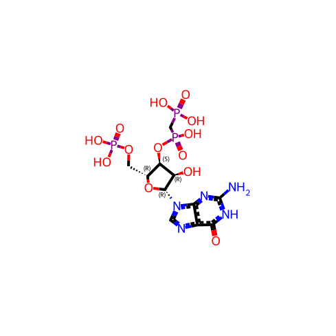 Nc1nc2c(ncn2[C@@H]2O[C@H](COP(=O)(O)O)[C@@H](OP(=O)(O)CP(=O)(O)O)[C@H]2O)c(=O)[nH]1